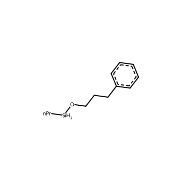 CCC[SiH2]OCCCc1ccccc1